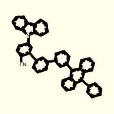 N#Cc1ccc(-n2c3ccccc3c3ccccc32)cc1-c1cccc(-c2cccc(-c3c4ccccc4c(-c4ccccc4)c4ccccc34)c2)c1